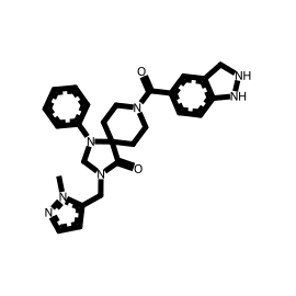 Cn1nccc1CN1CN(c2ccccc2)C2(CCN(C(=O)c3ccc4c(c3)CNN4)CC2)C1=O